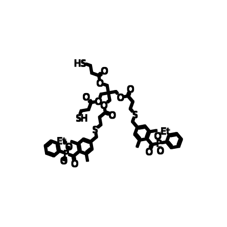 CCOP(=O)(C(=O)c1c(C)cc(CSCCC(=O)OCC(COC(=O)CCS)(COC(=O)CCS)COC(=O)CCSCc2cc(C)c(C(=O)P(=O)(OCC)c3ccccc3)c(C)c2)cc1C)c1ccccc1